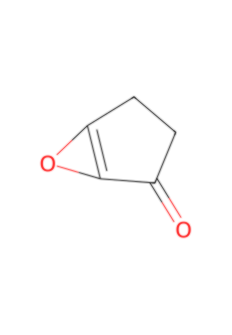 O=C1CCC2=C1O2